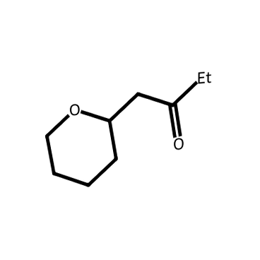 CCC(=O)CC1CCCCO1